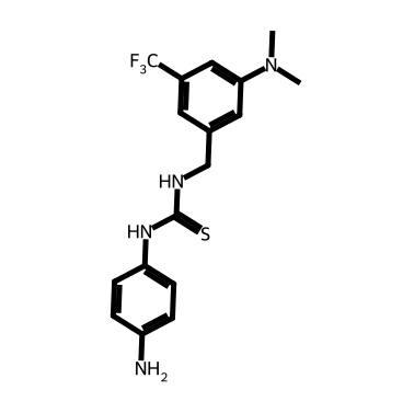 CN(C)c1cc(CNC(=S)Nc2ccc(N)cc2)cc(C(F)(F)F)c1